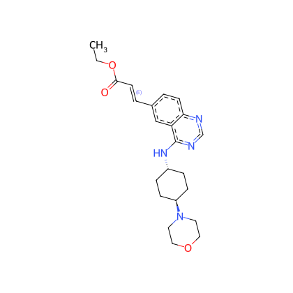 CCOC(=O)/C=C/c1ccc2ncnc(N[C@H]3CC[C@H](N4CCOCC4)CC3)c2c1